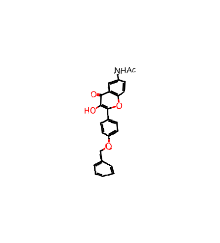 CC(=O)Nc1ccc2oc(-c3ccc(OCc4ccccc4)cc3)c(O)c(=O)c2c1